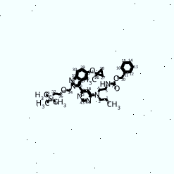 CCCN(CCNC(=O)OCc1ccccc1)c1cc(-c2c3cc(OC4(C)CC4)ccc3nn2COCC[Si](C)(C)C)ncn1